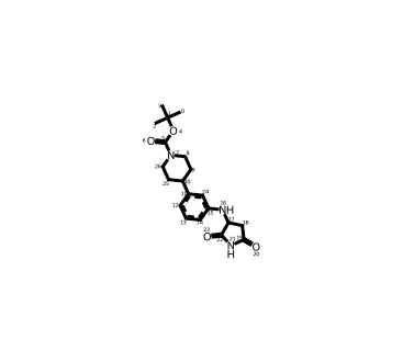 CC(C)(C)OC(=O)N1CCC(c2cccc(NC3CC(=O)NC3=O)c2)CC1